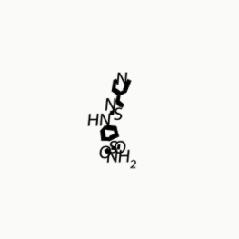 NS(=O)(=O)c1ccc(Nc2nc(-c3ccncc3)cs2)cc1